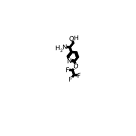 NC(CO)c1ccc(OC(F)C(F)F)nc1